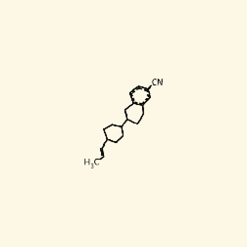 C/C=C/C1CCC(C2CCc3cc(C#N)ccc3C2)CC1